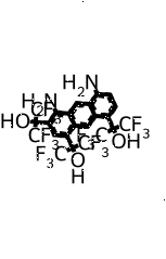 Nc1ccc(C(O)(C(F)(F)F)C(F)(F)F)c2cc3c(C(O)(C(F)(F)F)C(F)(F)F)cc(C(O)(C(F)(F)F)C(F)(F)F)c(N)c3cc12